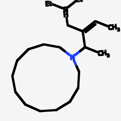 C/C=C(/C[SiH](CC)CC)C(C)N1CCCCCCCCCCCC1